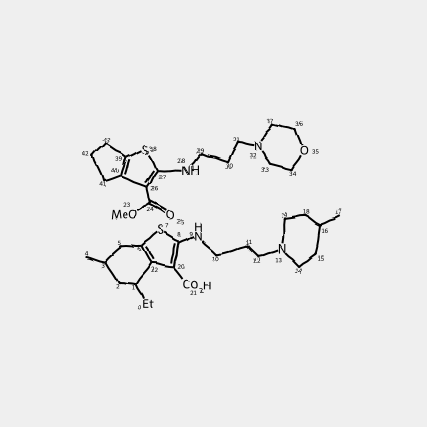 CCC1CC(C)Cc2sc(NCCCN3CCC(C)CC3)c(C(=O)O)c21.COC(=O)c1c(NCCCN2CCOCC2)sc2c1CCC2